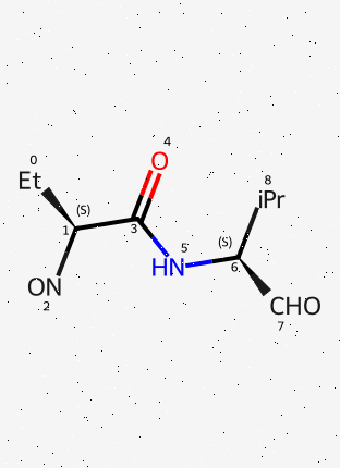 CC[C@H](N=O)C(=O)N[C@H](C=O)C(C)C